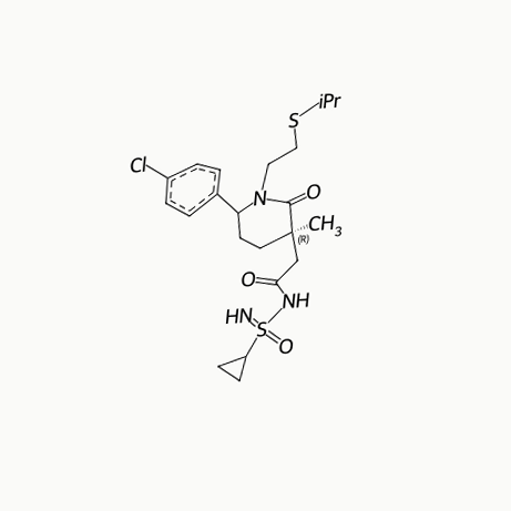 CC(C)SCCN1C(=O)[C@@](C)(CC(=O)NS(=N)(=O)C2CC2)CCC1c1ccc(Cl)cc1